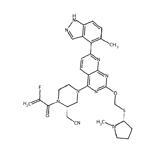 C=C(F)C(=O)N1CCN(c2nc(OCS[C@@H]3CCCN3C)nc3nc(-c4c(C)ccc5[nH]ncc45)ccc23)C[C@@H]1CC#N